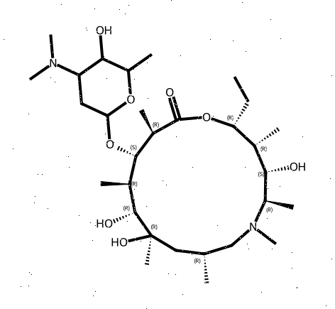 CC[C@H]1OC(=O)[C@H](C)[C@@H](OC2CC(N(C)C)C(O)C(C)O2)[C@H](C)[C@@H](O)[C@](C)(O)C[C@@H](C)CN(C)[C@H](C)[C@@H](O)[C@H]1C